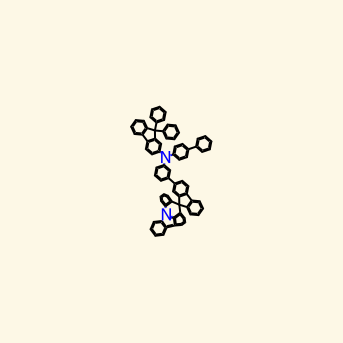 c1ccc(-c2ccc(N(c3cccc(-c4ccc5c(c4)C4(c6ccccc6-5)c5ccccc5-n5c6ccccc6c6cccc4c65)c3)c3ccc4c(c3)C(c3ccccc3)(c3ccccc3)c3ccccc3-4)cc2)cc1